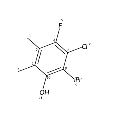 Cc1c(C)c(F)c(Cl)c(C(C)C)c1O